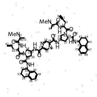 C#CC[C@H](NC(=O)[C@H](C)NC)C(=O)N1C[C@@H](NC(=O)c2cnc(C(=O)N[C@H]3C[C@@H](C(=O)N[C@@H]4CCCc5ccccc54)N(C(=O)[C@H](CC=C)NC(=O)[C@H](C)NC)C3)cn2)C[C@H]1C(=O)N[C@@H]1CCCc2ccccc21